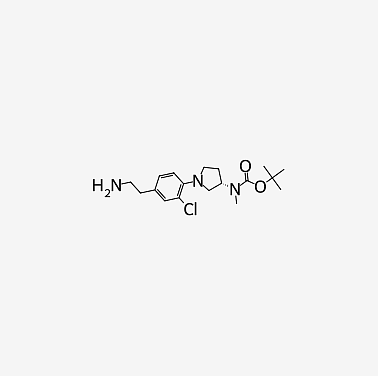 CN(C(=O)OC(C)(C)C)[C@H]1CCN(c2ccc(CCN)cc2Cl)C1